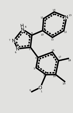 COc1cc(-c2nn[nH]c2-c2ccncc2)cc(C)c1C